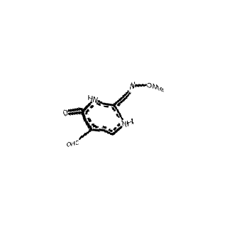 CON=c1[nH]cc(C=O)c(=O)[nH]1